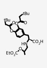 CCOC(=O)OC(C)CN[C@@H](Cc1ccc(OC(=O)CC(C)(C)C)c(OC(=O)CC(C)(C)C)c1)C(=O)O